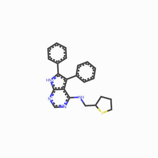 c1ccc(-c2[nH]c3ncnc(NCC4CCCS4)c3c2-c2ccccc2)cc1